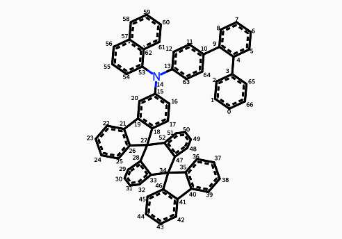 c1ccc(-c2ccccc2-c2ccc(N(c3ccc4c(c3)-c3ccccc3C43c4ccccc4C4(c5ccccc5-c5ccccc54)c4ccccc43)c3cccc4ccccc34)cc2)cc1